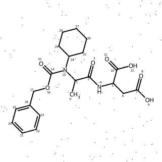 CC(C(=O)NC(CC(=O)O)C(=O)O)N(C(=O)OCc1ccccc1)C1CCCCC1